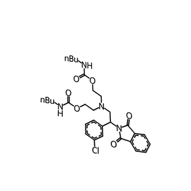 CCCCNC(=O)OCCN(CCOC(=O)NCCCC)CC(c1cccc(Cl)c1)N1C(=O)c2ccccc2C1=O